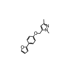 Cc1cc(COc2ccc(-c3ccco3)cc2)n(C)n1